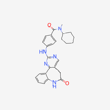 CN(C(=O)c1ccc(Nc2ncc3c(n2)-c2ccccc2NC(=O)C3)cc1)C1CCCCC1